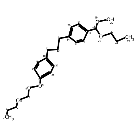 CCCOCOOc1ccc(CCCc2ccc(C(OO)OCCC)cc2)cc1